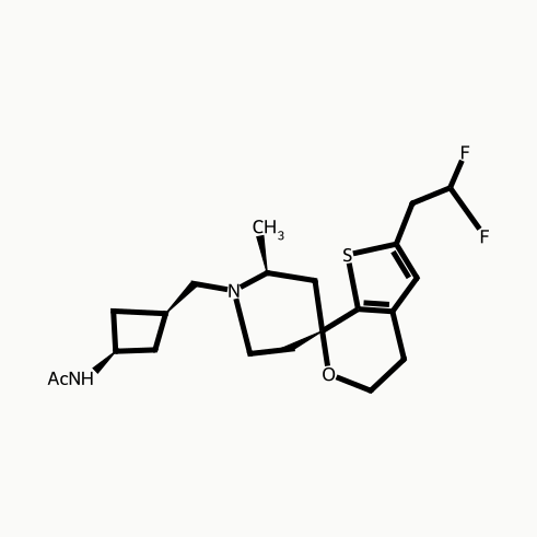 CC(=O)N[C@H]1C[C@@H](CN2CC[C@]3(C[C@@H]2C)OCCc2cc(CC(F)F)sc23)C1